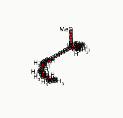 COCCOCCOCCOCCOCCOCCOc1cc(NC(=O)c2cc3c(-c4cc(C(C)(C)O)ccc4Oc4c(C)cc(F)cc4C)cn(C)c(=O)c3[nH]2)ccc1OCCOCCOCCOCCOCCOCCOCCOCCOCCNC(=O)CCNC(=O)c1nc(NC(=O)CCNC(=O)c2cc(NC(=O)c3nc(NC(=O)CCNC(=O)c4cc(NC(=O)c5nccn5C)cn4C)cn3C)cn2C)cn1C